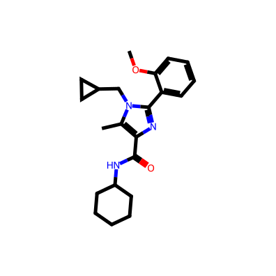 COc1ccccc1-c1nc(C(=O)NC2CCCCC2)c(C)n1CC1CC1